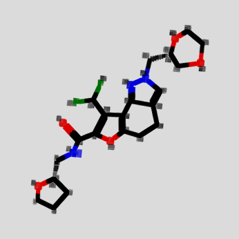 O=C(NC[C@@H]1CCCO1)c1oc2c(c1C(F)F)-c1nn(C[C@H]3COCCO3)cc1CC2